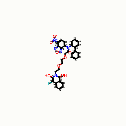 O=C(COCCOCCN1C(O)=C(F)c2ccccc2C1O)N(c1ccccc1-c1ccccc1)c1ccc([N+](=O)[O-])c2nonc12